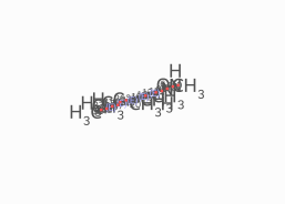 CNCCNC(=O)CC/C(C)=C/CC/C(C)=C/CC/C(C)=C/CC/C=C(\C)CC/C=C(\C)CCC=C(C)C